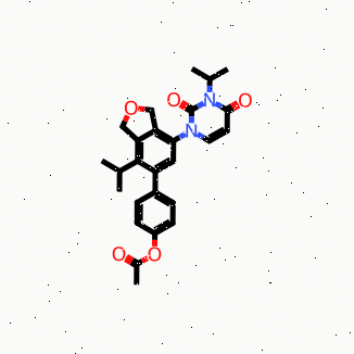 CC(=O)Oc1ccc(-c2cc(-n3ccc(=O)n(C(C)C)c3=O)c3c(c2C(C)C)COC3)cc1